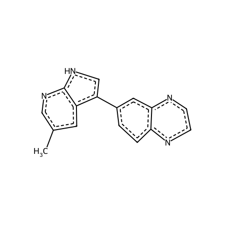 Cc1cnc2[nH]cc(-c3ccc4nccnc4c3)c2c1